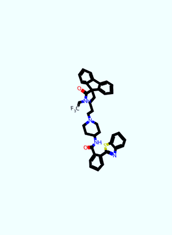 O=C(NC1CCN(CCCCC2(C(=O)NCC(F)(F)F)c3ccccc3-c3ccccc32)CC1)c1ccccc1-c1nc2ccccc2s1